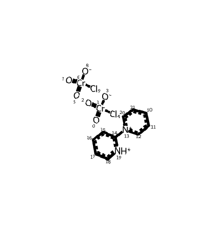 [O]=[Cr](=[O])([O-])[Cl].[O]=[Cr](=[O])([O-])[Cl].c1cc[n+](-c2cccc[nH+]2)cc1